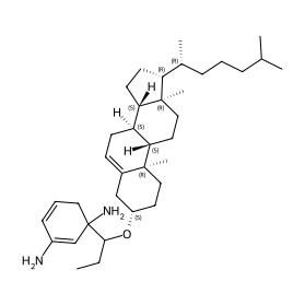 CCC(O[C@H]1CC[C@@]2(C)C(=CC[C@H]3[C@@H]4CC[C@H]([C@H](C)CCCC(C)C)[C@@]4(C)CC[C@@H]32)C1)C1(N)C=C(N)C=CC1